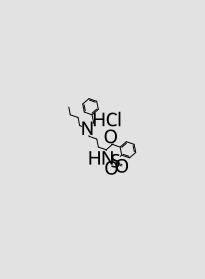 CCCCN(CCCC1NS(=O)(=O)c2ccccc2C1=O)Cc1ccccc1.Cl